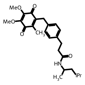 COC1=C(OC)C(=O)C(Cc2ccc(CCC(=O)NC(C)CC(C)C)cc2)=C(C)C1=O